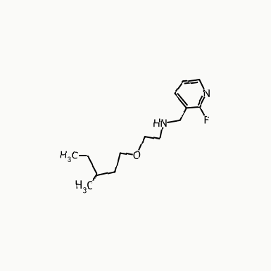 CCC(C)CCOCCNCc1cccnc1F